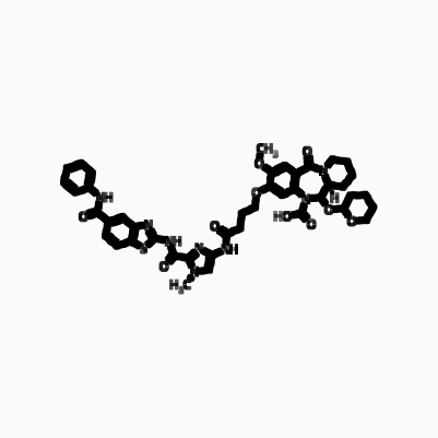 COc1cc2c(cc1OCCCC(=O)Nc1cn(C)c(C(=O)Nc3nc4cc(C(=O)Nc5ccccc5)ccc4s3)n1)N(C(=O)O)C(OC1CCCCO1)[C@@H]1CCCCN1C2=O